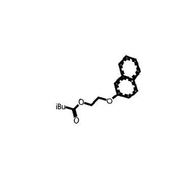 CCC(C)C(=O)OCCOc1ccc2ccccc2c1